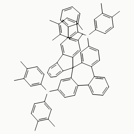 Cc1ccc(N(c2ccc(C)c(C)c2)c2ccc3c(c2)C2(c4cc(N(c5ccc(C)c(C)c5)c5ccc(C)c(C)c5)ccc4-c4ccccc4-3)c3ccccc3-c3cc4c(cc32)sc2ccccc24)cc1C